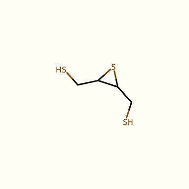 SCC1SC1CS